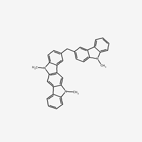 Cn1c2ccccc2c2cc(Cc3ccc4c(c3)c3cc5c(cc3n4C)c3ccccc3n5C)ccc21